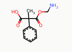 CC(C(=O)O)(C(=O)OCN)c1ccccc1